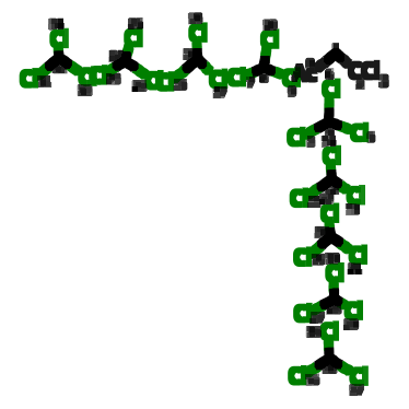 CC(=O)CC(Cl)(Cl)Cl.ClC(Cl)Cl.ClC(Cl)Cl.ClC(Cl)Cl.ClC(Cl)Cl.ClC(Cl)Cl.ClC(Cl)Cl.ClC(Cl)Cl.ClC(Cl)Cl.ClC(Cl)Cl